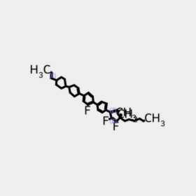 C=C(CCCCCC)/C(F)=C(F)\C(=C/C)c1ccc(-c2ccc(C3=CCC(C4CCC(/C=C/C)CC4)CC3)cc2F)cc1